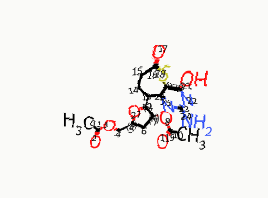 CC(=O)OC[C@@H]1C[C@@H](OC(C)=O)[C@H](C2CCC(=O)Sc3c(O)nc(N)nc32)O1